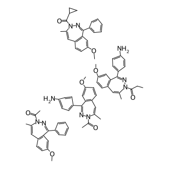 CCC(=O)N1N=C(c2ccc(N)cc2)c2cc(OC)ccc2C=C1C.COc1ccc2c(c1)C(c1ccc(N)cc1)=NN(C(C)=O)C(C)=C2.COc1ccc2c(c1)C(c1ccccc1)=NN(C(=O)C1CC1)C(C)=C2.COc1ccc2c(c1)C(c1ccccc1)=NN(C(C)=O)C(C)=C2